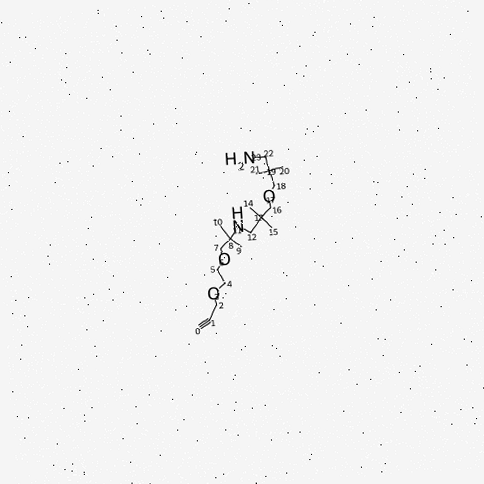 C#CCOCCOCC(C)(C)NCC(C)(C)COCC(C)(C)CN